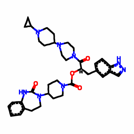 O=C(O[C@H](Cc1ccc2[nH]ncc2c1)C(=O)N1CCN(C2CCN(C3CC3)CC2)CC1)N1CCC(N2CCc3ccccc3NC2=O)CC1